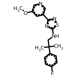 COc1cncc(-c2nsc(NCC(C)(C)c3ccc(F)cc3)n2)c1